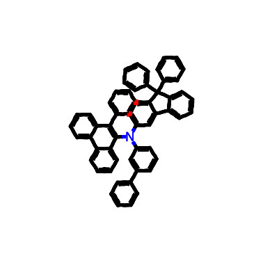 c1ccc(-c2cccc(N(c3ccc4c(c3)-c3ccccc3C4(c3ccccc3)c3ccccc3)c3c(-c4ccccc4)c4ccccc4c4ccccc34)c2)cc1